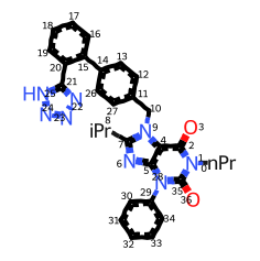 CCCn1c(=O)c2c(nc(C(C)C)n2Cc2ccc(-c3ccccc3-c3nnn[nH]3)cc2)n(-c2ccccc2)c1=O